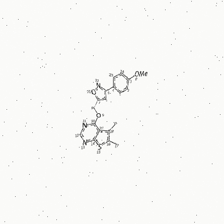 COc1ccc(-c2cc(COc3ncnc4sc(C)c(C)c34)on2)cc1